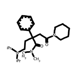 CC(C)N(CCC(CC(=O)N1CCCCC1)(C(=O)N(C)C)c1ccccc1)C(C)C